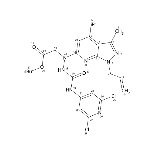 C=CCn1nc(C)c2c(C(C)C)cc(N(CC(=O)OCCCC)NC(=O)Nc3cc(Cl)nc(Cl)c3)nc21